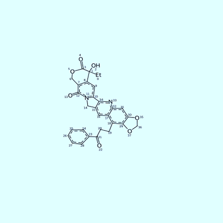 CCC1(O)C(=O)OCc2c1cc1n(c2=O)Cc2cc3c(CCC(=O)c4ccccc4)c4c(cc3nc2-1)OCO4